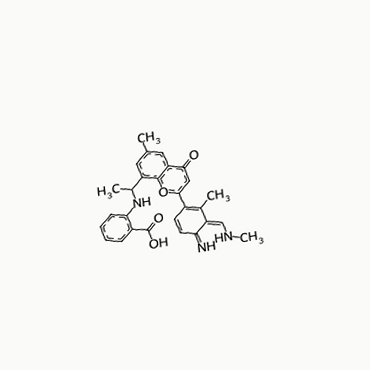 CN/C=C1\C(=N)C=CC(c2cc(=O)c3cc(C)cc(C(C)Nc4ccccc4C(=O)O)c3o2)=C1C